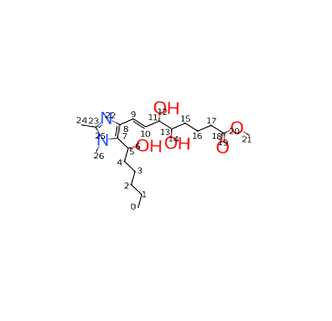 CCCCCC(O)c1c(/C=C/C(O)C(O)CCCC(=O)OC)nc(C)n1C